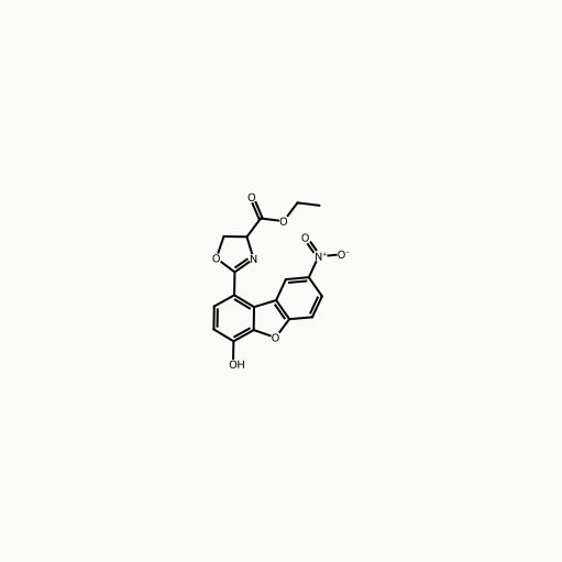 CCOC(=O)C1COC(c2ccc(O)c3oc4ccc([N+](=O)[O-])cc4c23)=N1